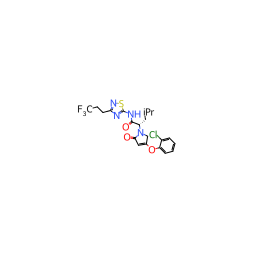 CC(C)C[C@@H](C(=O)Nc1nc(CCC(F)(F)F)ns1)N1CC(Oc2ccccc2Cl)=CC1=O